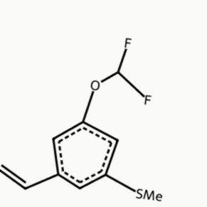 C=Cc1cc(OC(F)F)cc(SC)c1